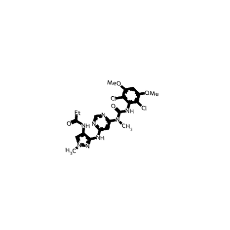 CCC(=O)Nc1cn(C)nc1Nc1cc(N(C)C(=O)Nc2c(Cl)c(OC)cc(OC)c2Cl)ncn1